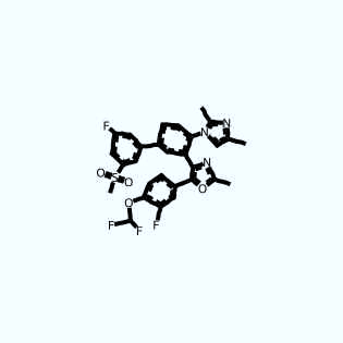 Cc1cn(-c2ccc(-c3cc(F)cc(S(C)(=O)=O)c3)cc2-c2nc(C)oc2-c2ccc(OC(F)F)c(F)c2)c(C)n1